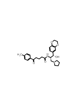 Cc1ccc(C(=O)CCCC(=O)N[C@H](CN2CCCC2)[C@@H](O)c2ccc3c(c2)OCCO3)cc1